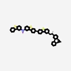 C[C@@H](Cc1ccc2sc3cc(-c4ccc5c(c4)sc4ccc(N(I)c6ccc7sc8ccccc8c7c6)cc45)ccc3c2c1)c1ccc2c(c1)-c1ccccc1C1C[C@@H]21